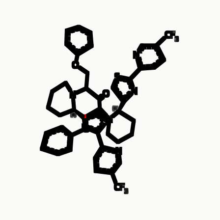 O=C(C(COc1ccccc1)N1CCCC[C@@H]1c1csc(-c2ccc(C(F)(F)F)cn2)n1)C(COc1ccccc1)N1CCCC[C@@H]1c1csc(-c2ccc(C(F)(F)F)cn2)n1